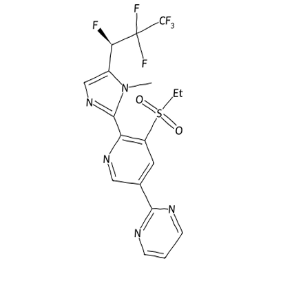 CCS(=O)(=O)c1cc(-c2ncccn2)cnc1-c1ncc([C@@H](F)C(F)(F)C(F)(F)F)n1C